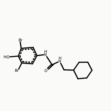 O=C(NCC1CCCCC1)Nc1cc(Br)c(O)c(Br)c1